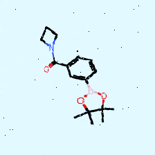 CC1(C)OB(c2cccc(C(=O)N3CCC3)c2)OC1(C)C